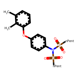 CCCCCS(=O)(=O)N(c1ccc(Oc2cccc(C)c2C)cc1)S(=O)(=O)CCCCC